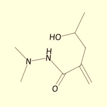 C=C(CC(C)O)C(=O)NN(C)C